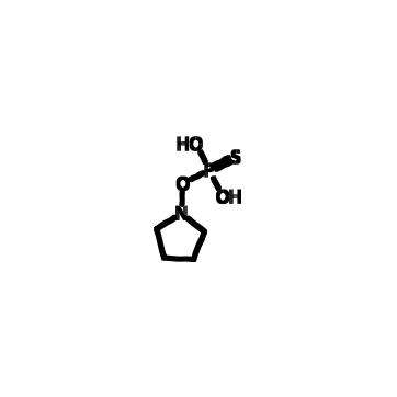 OP(O)(=S)ON1CCCC1